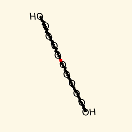 OCCCCOCCCCOCCCCOCCCCOCCCCOCCCCOCCCCOCCCCOCCCCOCCCCO